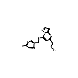 CCOCc1cc(OCc2cnc(C)cn2)n2nccc2n1